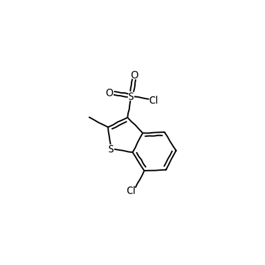 Cc1sc2c(Cl)cccc2c1S(=O)(=O)Cl